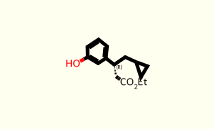 CCOC(=O)C[C@@H](CC1CC1)c1cccc(O)c1